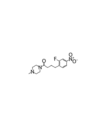 CN1CCN(C(=O)CCCc2ccc([N+](=O)[O-])cc2F)CC1